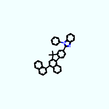 CC1(C)c2cc(-c3nc4ccccc4n3-c3ccccc3)ccc2-c2c1cc(-c1cccc3ccccc13)c1ccccc21